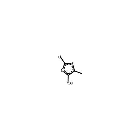 Cc1sc(Cl)nc1C(C)(C)C